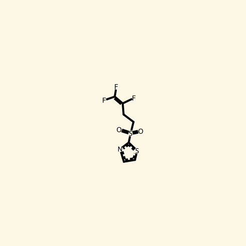 O=S(=O)(CCC(F)=C(F)F)c1nccs1